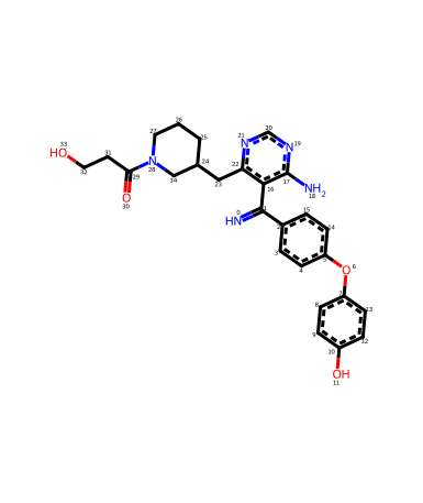 N=C(c1ccc(Oc2ccc(O)cc2)cc1)c1c(N)ncnc1CC1CCCN(C(=O)CCO)C1